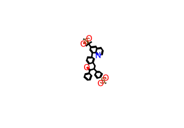 CC(C)(c1cc(-c2cccc(CC(C(=O)c3ccccc3)c3ccc(S(C)(=O)=O)cc3)c2)c2ncccc2c1)S(C)(=O)=O